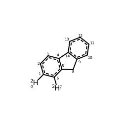 [2H]c1ccc2c(c1[2H])Cc1ccccc1-2